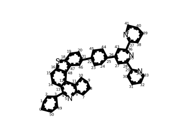 c1ccc(-c2nc3ccccc3c3c2ccc2sc4ccc(-c5ccc(-c6cc(-c7ccccn7)nc(-c7ccccn7)c6)cc5)cc4c23)cc1